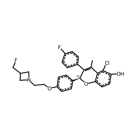 CC1=C(c2ccc(F)cc2)[C@H](c2ccc(OCCN3CC(CF)C3)cc2)Oc2ccc(O)c(Cl)c21